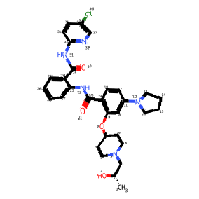 C[C@H](O)CN1CCC(Oc2cc(N3CCCC3)ccc2C(=O)Nc2ccccc2C(=O)Nc2ccc(Cl)cn2)CC1